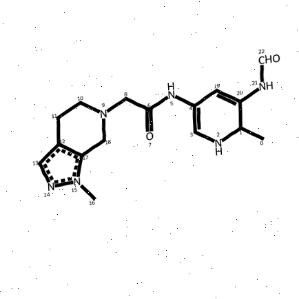 CC1NC=C(NC(=O)CN2CCc3cnn(C)c3C2)C=C1NC=O